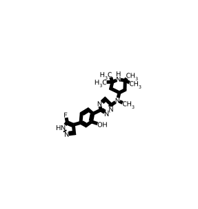 CN(c1cnc(-c2ccc(-c3cn[nH]c3F)cc2O)nn1)C1CC(C)(C)NC(C)(C)C1